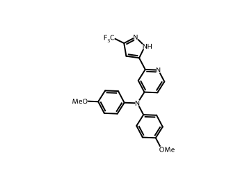 COc1ccc(N(c2ccc(OC)cc2)c2ccnc(-c3cc(C(F)(F)F)n[nH]3)c2)cc1